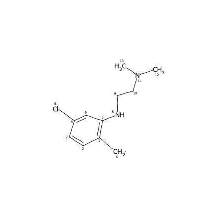 [CH2]c1ccc(Cl)cc1NCCN(C)C